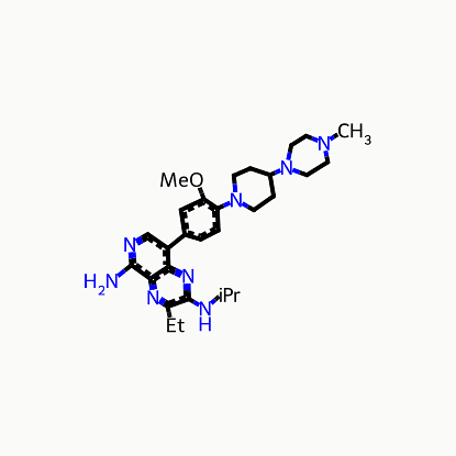 CCc1nc2c(N)ncc(-c3ccc(N4CCC(N5CCN(C)CC5)CC4)c(OC)c3)c2nc1NC(C)C